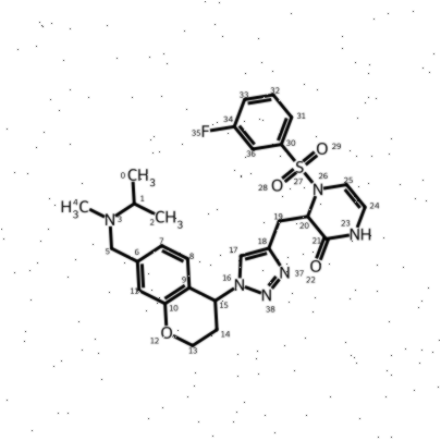 CC(C)N(C)Cc1ccc2c(c1)OCCC2n1cc(CC2C(=O)NC=CN2S(=O)(=O)c2cccc(F)c2)nn1